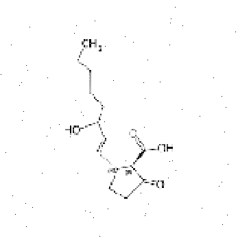 CCCCCC(O)C=C[C@H]1CCC(=O)[C@@H]1C(=O)O